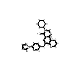 O=c1c2cc(Cc3ccc(-n4cccn4)nc3)c3ncccc3c2ncn1C1CCCCC1